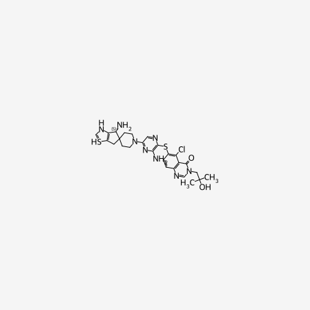 CC(C)(O)Cn1cnc2ccc(Sc3ncc(N4CCC5(CC4)CC4=C(NC=[SH]4)[C@H]5N)nc3N)c(Cl)c2c1=O